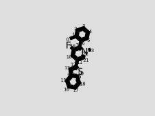 Cc1ccccc1-c1c(F)cc(-c2cc3ccccc3s2)c[n+]1C